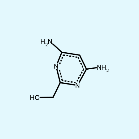 Nc1cc(N)nc(CO)n1